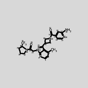 Cc1ccnc2c1c(C1CN(C(=O)c3ccnc(N)c3)C1)nn2CC(=O)N1CCC[C@H]1C(F)(F)F